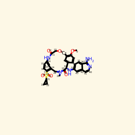 COc1ccc2cc1COCC(=O)Nc1ccc(S(=O)(=O)C3CC3)c(c1)CN(C)C(=O)[C@@H]2Nc1ccc2c(N)nccc2c1